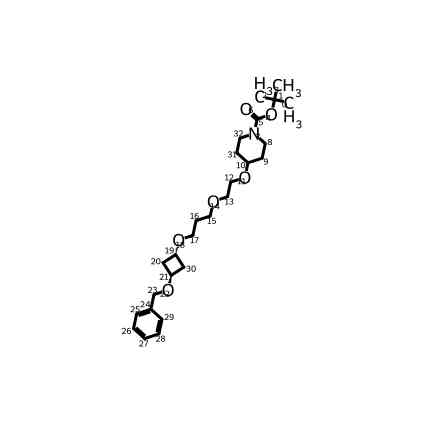 CC(C)(C)OC(=O)N1CCC(OCCOCCCO[C@H]2C[C@H](OCc3ccccc3)C2)CC1